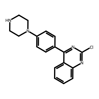 Clc1nc(-c2ccc(N3CCNCC3)cc2)c2ccccc2n1